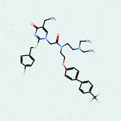 CCc1cn(CC(=O)N(CCOc2ccc(-c3ccc(C(F)(F)F)cc3)cc2)CCN(CC)CC)c(SCc2ccc(F)cc2)nc1=O